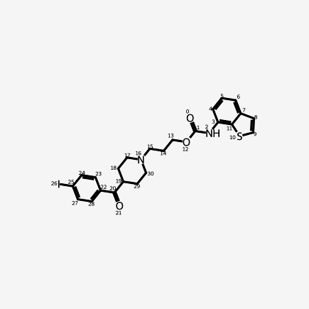 O=C(Nc1cccc2ccsc12)OCCCN1CCC(C(=O)c2ccc(I)cc2)CC1